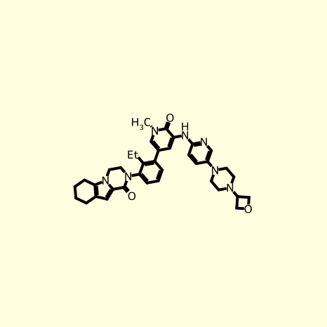 CCc1c(-c2cc(Nc3ccc(N4CCN(C5COC5)CC4)cn3)c(=O)n(C)c2)cccc1N1CCn2c(cc3c2CCCC3)C1=O